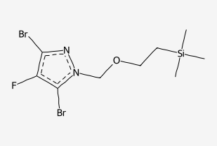 C[Si](C)(C)CCOCn1nc(Br)c(F)c1Br